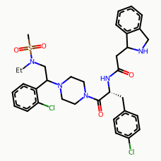 CCN(CC(c1ccccc1Cl)N1CCN(C(=O)[C@@H](Cc2ccc(Cl)cc2)NC(=O)CC2NCc3ccccc32)CC1)S(C)(=O)=O